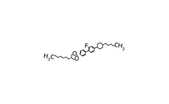 CCCCCCC[C@H]1CO[C@H](c2ccc(-c3ccc(C4CCC(CCCCC)CC4)cc3F)cc2)OC1